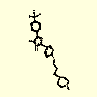 Cc1[nH]c(-c2ccc(OCCCC3CCN(C)CC3)nc2)nc1-c1ccc(C(F)(F)F)cc1